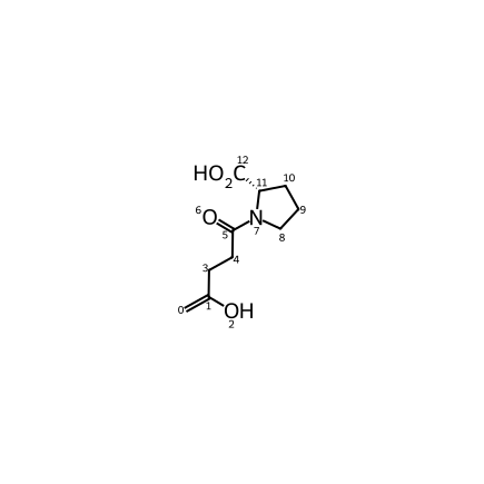 C=C(O)CCC(=O)N1CCC[C@H]1C(=O)O